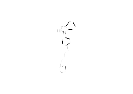 c1ccc2c(c1)CNN2c1ccc(OCCCN2CCCC2)cc1